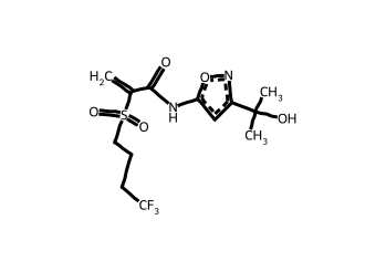 C=C(C(=O)Nc1cc(C(C)(C)O)no1)S(=O)(=O)CCCC(F)(F)F